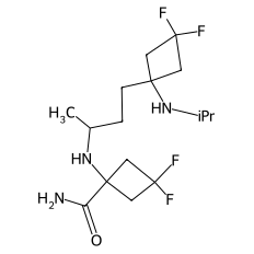 CC(C)NC1(CCC(C)NC2(C(N)=O)CC(F)(F)C2)CC(F)(F)C1